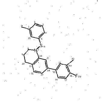 Cc1cccc(SN2CCCc3ccc(-c4ccc(F)c(C)c4)cc32)c1